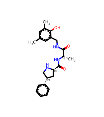 Cc1cc(C)c(O)c(CNC(=O)[C@H](C)NC(=O)[C@H]2C[C@H](c3ccccc3)CN2)c1